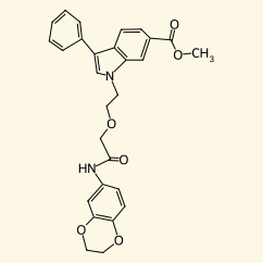 COC(=O)c1ccc2c(-c3ccccc3)cn(CCOCC(=O)Nc3ccc4c(c3)OCCO4)c2c1